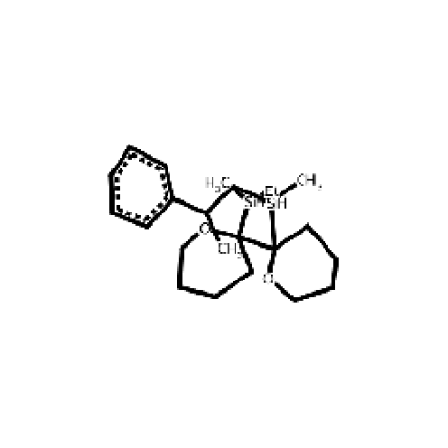 CC[SiH](C)C1(C2([SiH](C)CC(C)c3ccccc3)CCCCO2)CCCCO1